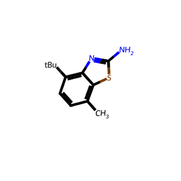 Cc1ccc(C(C)(C)C)c2nc(N)sc12